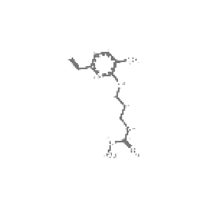 C=Cc1ccc([N+](=O)[O-])c(OCCCNC(=O)OC(C)(C)C)n1